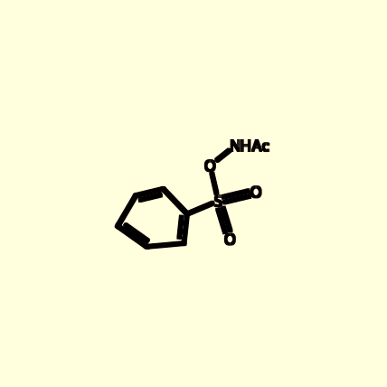 CC(=O)NOS(=O)(=O)c1ccccc1